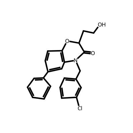 O=C1C(CCO)Oc2ccc(-c3ccccc3)cc2N1Cc1cccc(Cl)c1